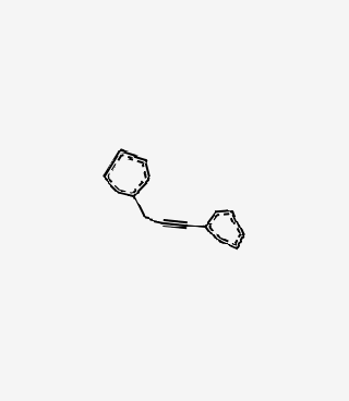 C(#Cc1ccccc1)Cc1ccccc1